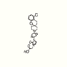 O=C(O)Cn1ccn(-c2cnc(N3CCC4(CCc5c(Cl)cccc5O4)CC3)cn2)c1=O